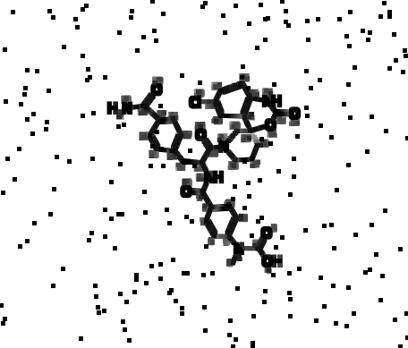 CN(C(=O)O)c1ccc(C(=O)N[C@@H](Cc2ccc(C(N)=O)cc2)C(=O)N2CCC[C@@]3(C2)OC(=O)Nc2ccc(Cl)cc23)cc1